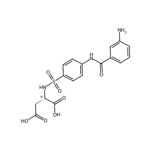 Nc1cccc(C(=O)Nc2ccc(S(=O)(=O)N[C@@H](CC(=O)O)C(=O)O)cc2)c1